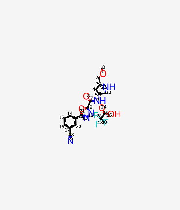 COC[C@@H]1C[C@@H](NC(=O)c2nnc(-c3cccc(C#N)c3)o2)CN1.O=C(O)C(F)(F)F